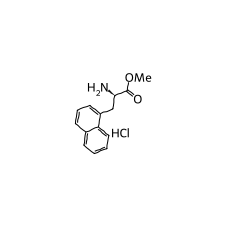 COC(=O)[C@H](N)Cc1cccc2ccccc12.Cl